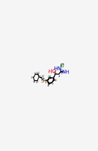 N=C(CC(O)c1cccc(SCC2CCCCC2)c1)NCl